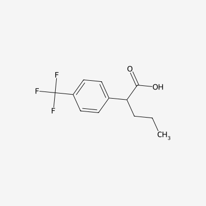 CCCC(C(=O)O)c1ccc(C(F)(F)F)cc1